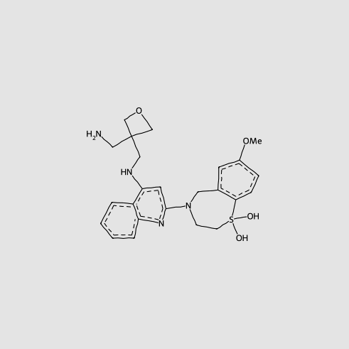 COc1ccc2c(c1)CN(c1cc(NCC3(CN)COC3)c3ccccc3n1)CCS2(O)O